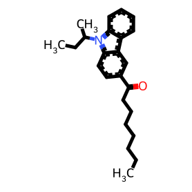 CCCCCCCC(=O)c1ccc2c(c1)c1ccccc1n2C(C)CC